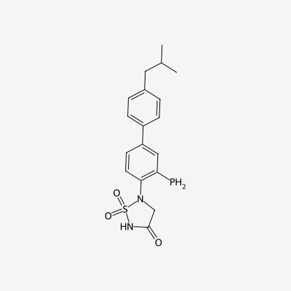 CC(C)Cc1ccc(-c2ccc(N3CC(=O)NS3(=O)=O)c(P)c2)cc1